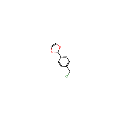 ClCc1ccc(C2OC=CO2)cc1